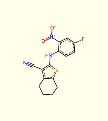 N#Cc1c(Nc2ccc(F)cc2[N+](=O)[O-])sc2c1CCCC2